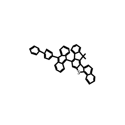 CC1(C)c2ccccc2-c2c(-c3c4ccccc4c(-c4ccc(-c5ccccc5)cc4)c4ccccc34)cc3sc4c5ccccc5ccc4c3c21